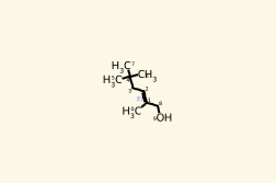 C/C(=C\CC(C)(C)C)CO